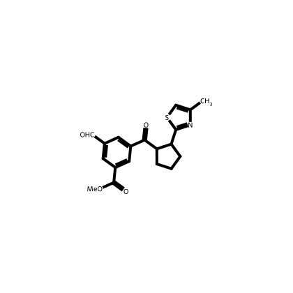 COC(=O)c1cc(C=O)cc(C(=O)C2CCCC2c2nc(C)cs2)c1